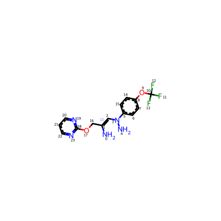 N/C(=C\N(N)c1ccc(OC(F)(F)F)cc1)COc1ncccn1